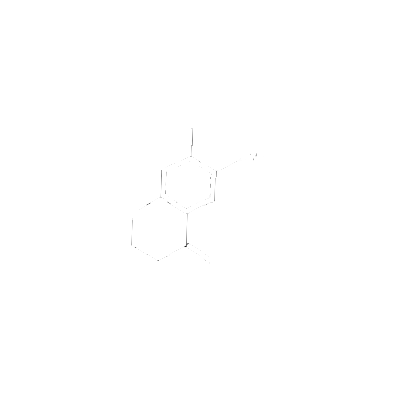 COc1cc2c(cc1C)OCCC2=O